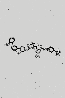 Cc1ncsc1-c1ccc([C@H](C)NC(=O)[C@@H]2C[C@@H](O)CN2C(=O)[C@@H](NC(=O)CN2CCN(c3cc(-c4ccccc4O)nnc3O)CC2)C(C)(C)C)cc1